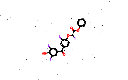 O=C(c1ccc(OC(I)C(=O)Oc2ccccc2)c(I)c1)c1cc(I)c(O)c(I)c1